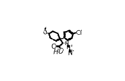 CO[C@H]1CC[C@](c2ccc(Cl)cc2)([C@H](N=[N+]=[N-])C(=O)O)CC1